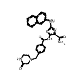 NC(=O)c1nc(Nc2ccc3ccccc3c2)sc1NC(=O)c1ccc(CN2CCNC(=O)C2)cc1